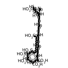 NC(=O)CC[C@H](NC(=O)COCCOCCNC(=O)COCCOCCNC(=O)COCCOCCNC(=O)COCCOCCNC(=O)CC[C@H](NC(=O)CC[C@H](NC(=O)CC[C@H](NC(=O)CC[C@H](NC(=O)CC[C@H](NC(=O)CCCCCCCCCCCCCCCCC(=O)O)C(=O)O)C(=O)O)C(=O)O)C(=O)O)C(=O)O)C(=O)C[C@@H](CS)C(=O)C[C@@H](CS)C(=O)O